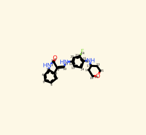 O=C1Nc2ccccc2C1=CNc1ccc(NC2CCOCC2)c(F)c1